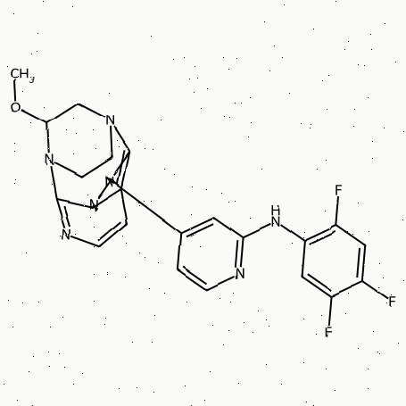 COC1CN2CCN1c1nccc3c2nc(-c2ccnc(Nc4cc(F)c(F)cc4F)c2)nc13